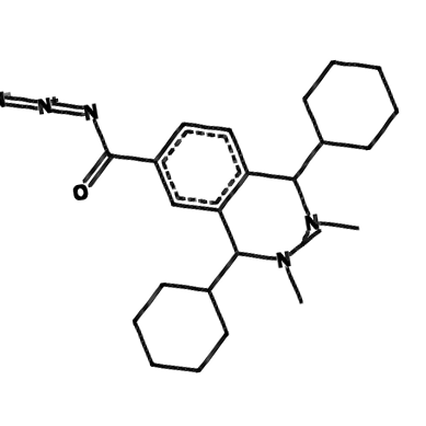 CN(C)C(c1ccc(C(=O)N=[N+]=[N-])cc1C(C1CCCCC1)N(C)C)C1CCCCC1